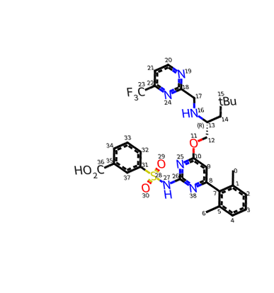 Cc1cccc(C)c1-c1cc(OC[C@@H](CC(C)(C)C)NCc2nccc(C(F)(F)F)n2)nc(NS(=O)(=O)c2cccc(C(=O)O)c2)n1